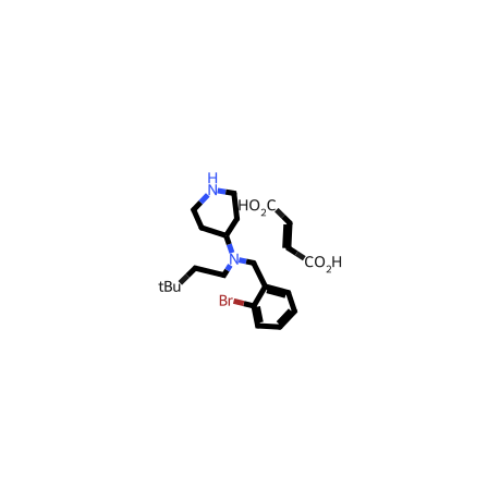 CC(C)(C)CCN(Cc1ccccc1Br)C1CCNCC1.O=C(O)/C=C/C(=O)O